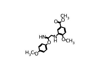 COC(=O)c1ccc(OC)c(NCC(=N)Oc2ccc(OC)cc2)c1